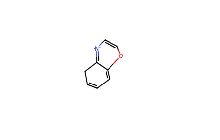 C1=CCC2=[N+]C=COC2=C1